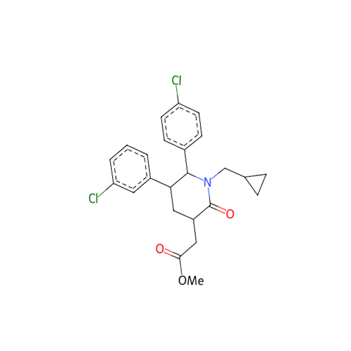 COC(=O)CC1CC(c2cccc(Cl)c2)C(c2ccc(Cl)cc2)N(CC2CC2)C1=O